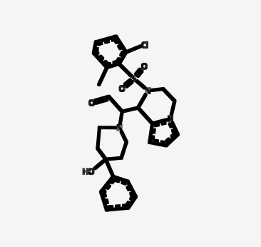 Cc1cccc(Cl)c1S(=O)(=O)N1CCn2cccc2C1C(C=O)N1CCC(O)(c2ccccc2)CC1